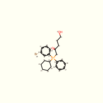 O=C(CCCO)C[P+](c1ccccc1)(c1ccccc1)C1CCCCC1.[Br-]